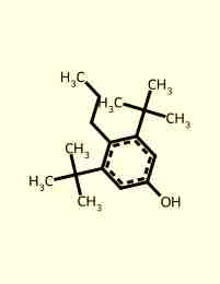 CCCc1c(C(C)(C)C)cc(O)cc1C(C)(C)C